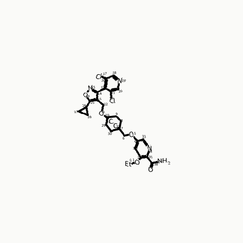 CCOc1cc(OCC23CCC(OCc4c(-c5c(Cl)cncc5Cl)noc4C4CC4)(CC2)CC3)cnc1C(N)=O